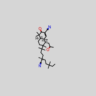 CCC(C)(C)CC[C@](C)(C#N)CCC(C)(C)[C@]1(C)CC[C@H]2C(C)(C)C(=O)C(C#N)=C[C@]2(C)[C@H]1CC(C)=O